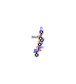 COc1cc2c(Oc3c#cc(NC(=O)C(=O)NCC(c4ccccc4)N(C)C)cc3F)ccnc2cc1OCC1CCNCC1